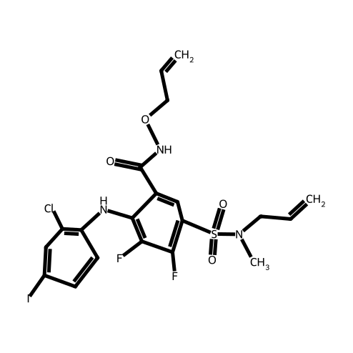 C=CCONC(=O)c1cc(S(=O)(=O)N(C)CC=C)c(F)c(F)c1Nc1ccc(I)cc1Cl